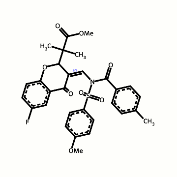 COC(=O)C(C)(C)C1Oc2ccc(F)cc2C(=O)/C1=C\N(C(=O)c1ccc(C)cc1)S(=O)(=O)c1ccc(OC)cc1